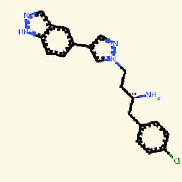 N[C@H](CCn1cc(-c2ccc3[nH]ncc3c2)cn1)Cc1ccc(Cl)cc1